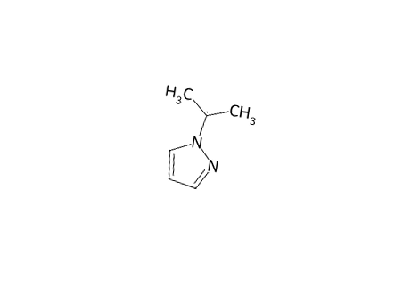 C[C](C)n1cccn1